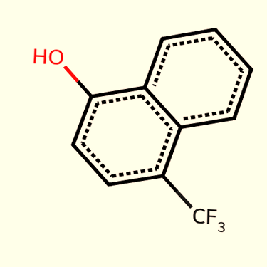 Oc1ccc(C(F)(F)F)c2ccccc12